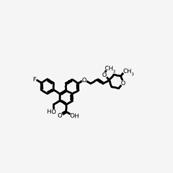 COC1(C=CCOc2ccc3c(-c4ccc(F)cc4)c(CO)c(C(=O)O)cc3c2)CCOC(C)C1